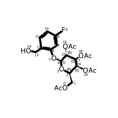 CC(=O)OC[C@H]1O[C@@H](Oc2cc(F)ccc2CO)[C@H](OC(C)=O)[C@@H](OC(C)=O)[C@H]1OC(C)=O